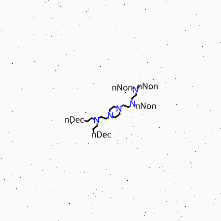 CCCCCCCCCCCCN(CCCCCCCCCCCC)CCN1CCN(CCN(CCCCCCCCC)CCN(CCCCCCCCC)CCCCCCCCC)CC1